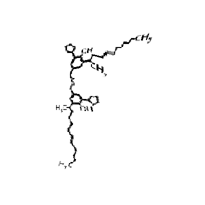 CCCCCCCCCCC(C)c1cc(CSCc2cc(C(C)CCCCCCCCCC)c(O)c(C3CCCC3)c2)cc(C2CCCC2)c1O